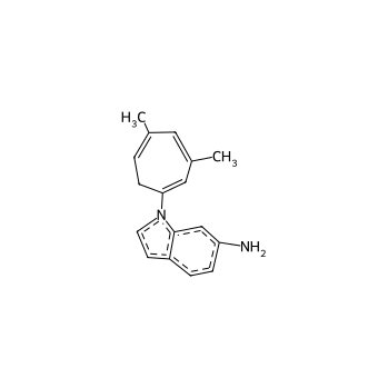 CC1=CCC(n2ccc3ccc(N)cc32)=CC(C)=C1